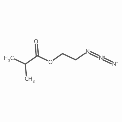 CC(C)C(=O)OCCN=[N+]=[N-]